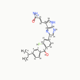 CC(C)c1ccc(C(=O)c2ccc(-c3cnc4[nH]cc(/C=C/C(N)=O)c4n3)cc2F)cc1